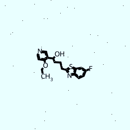 CCOc1ccncc1C(O)CCCc1nc2ccc(F)cc2s1